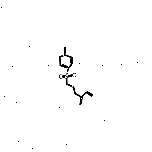 C=CC(=C)CCCS(=O)(=O)C1=CCC(C)C=C1